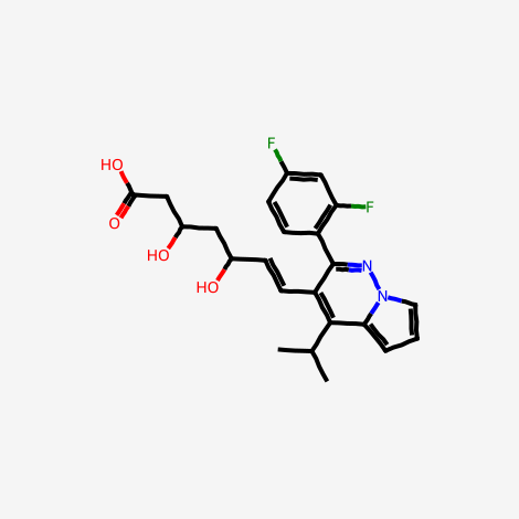 CC(C)c1c(/C=C/C(O)CC(O)CC(=O)O)c(-c2ccc(F)cc2F)nn2cccc12